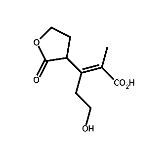 CC(C(=O)O)=C(CCO)C1CCOC1=O